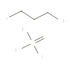 O=P(O)(O)O.OCCCBr